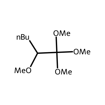 CCCCC(OC)C(OC)(OC)OC